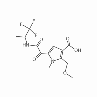 COCc1c(C(=O)O)cc(C(=O)C(=O)N[C@@H](C)C(F)(F)F)n1C